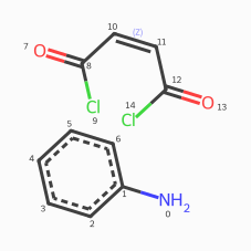 Nc1ccccc1.O=C(Cl)/C=C\C(=O)Cl